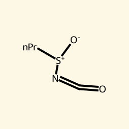 CCC[S+]([O-])N=C=O